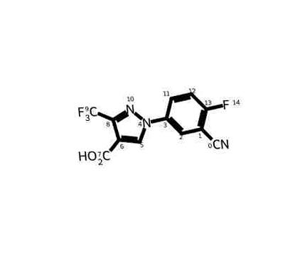 N#Cc1cc(-n2cc(C(=O)O)c(C(F)(F)F)n2)ccc1F